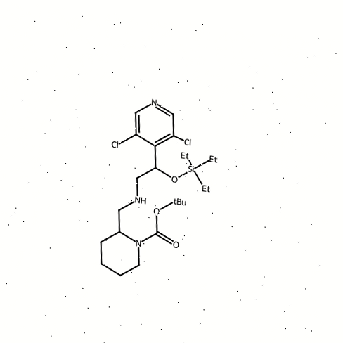 CC[Si](CC)(CC)OC(CNCC1CCCCN1C(=O)OC(C)(C)C)c1c(Cl)cncc1Cl